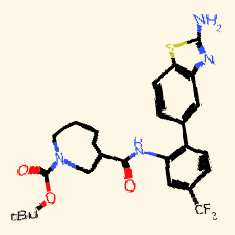 CC(C)(C)OC(=O)N1CCCC(C(=O)Nc2cc(C(F)(F)F)ccc2-c2[c]c3nc(N)sc3cc2)C1